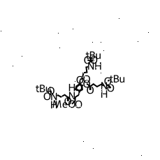 COC(=O)C(Cc1ccc(OC(=O)CCCNC(=O)OC(C)(C)C)c(OC(=O)CCCNC(=O)OC(C)(C)C)c1)NC(=O)CCCNC(=O)OC(C)(C)C